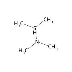 CN(C)[SH](C)C